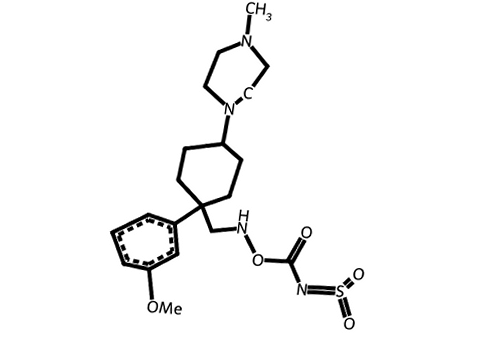 COc1cccc(C2(CNOC(=O)N=S(=O)=O)CCC(N3CCN(C)CC3)CC2)c1